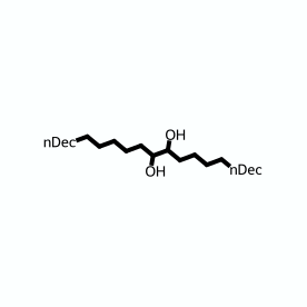 CCCCCCCCCCCCCCCC(O)C(O)CCCCCCCCCCCCCC